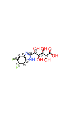 O=C(O)C(O)[C@H](O)C(O)C(O)c1nc2cc(F)c(F)cc2[nH]1